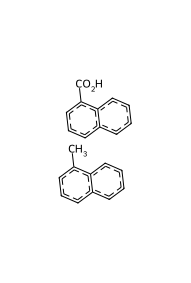 Cc1cccc2ccccc12.O=C(O)c1cccc2ccccc12